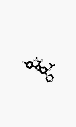 CNC(=O)c1c(-c2ccc(F)cc2)oc2cc(N3CCOCC3)c(OC(C)C)cc12